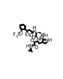 CCC(CC(=O)N[C@@H](CC(C)(C)C)C(=O)NC(CC1CCNC1=O)C(=O)C(=O)NC1CC1)c1ccccc1OC(F)(F)F